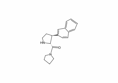 O=C([C@@H]1NCC[C@H]1c1ccc2ccccc2c1)N1CCCC1